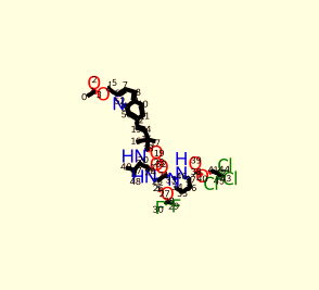 CC(=O)O[C@H](C)c1ccc2ccc(/C=C/C(C)(C)C(=O)N[C@H](C(=O)N[C@@H](COC(F)F)C(=O)N3CCC[C@@H](C(=O)OCC(Cl)(Cl)Cl)N3)C(C)C)cc2n1